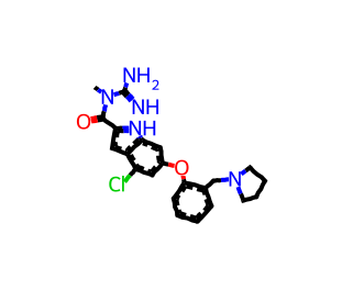 CN(C(=N)N)C(=O)c1cc2c(Cl)cc(Oc3ccccc3CN3CCCC3)cc2[nH]1